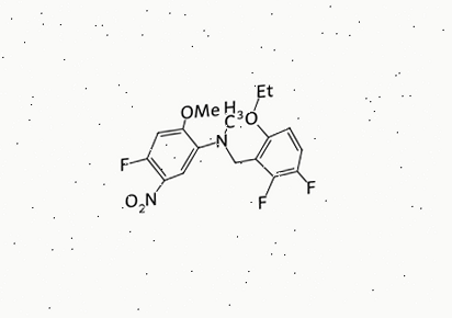 CCOc1ccc(F)c(F)c1CN(C)c1cc([N+](=O)[O-])c(F)cc1OC